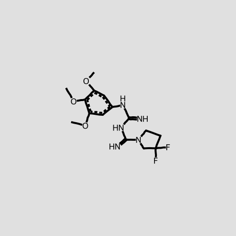 COc1cc(NC(=N)NC(=N)N2CCC(F)(F)C2)cc(OC)c1OC